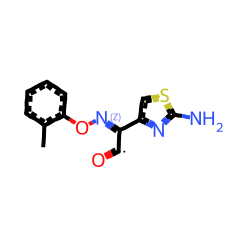 Cc1ccccc1O/N=C(\[C]=O)c1csc(N)n1